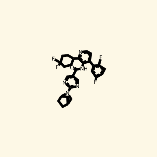 O=C(Nc1c(-c2cc(F)ccc2F)ccnc1C1CCC(F)(F)CC1)c1cnc(N2CC3CCC2C3)nc1